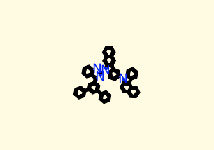 c1ccc(-c2cc(-c3ccccc3)cc(-c3nc(-n4c5ccc(-n6c7ccccc7c7c8ccccc8ccc76)cc5c5cc6ccccc6cc54)nc4ccccc34)c2)cc1